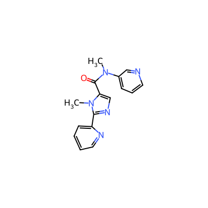 CN(C(=O)c1cnc(-c2ccccn2)n1C)c1cccnc1